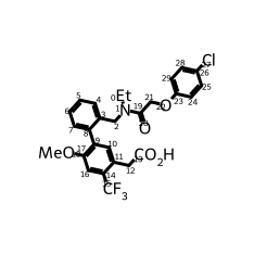 CCN(Cc1ccccc1-c1cc(CC(=O)O)c(C(F)(F)F)cc1OC)C(=O)COc1ccc(Cl)cc1